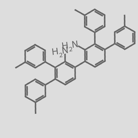 Cc1cccc(-c2ccc(-c3ccc(-c4cccc(C)c4)c(-c4cccc(C)c4)c3N)c(N)c2-c2cccc(C)c2)c1